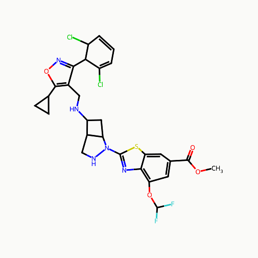 COC(=O)c1cc(OC(F)F)c2nc(N3NCC4C(NCc5c(C6C(Cl)=CC=CC6Cl)noc5C5CC5)CC43)sc2c1